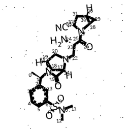 C[C@H](c1cccc(S(=O)(=O)N(C)C)c1)N1C(=O)[C@@H]2C[C@H]1CN2C[C@H](N)C(=O)N1C2C[C@H]2C[C@H]1C#N